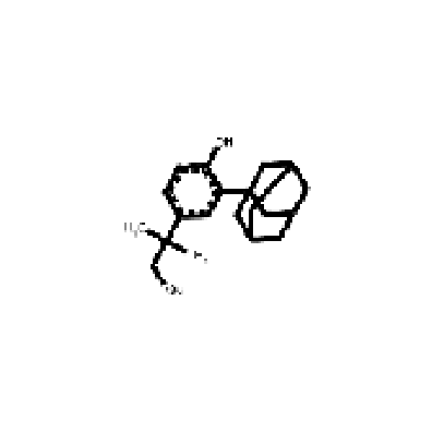 CC(C)(C)CC(C)(C)c1ccc(O)c(C23CC4CC(CC(C4)C2)C3)c1